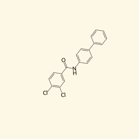 O=C(Nc1ccc(-c2ccccc2)cc1)c1ccc(Cl)c(Cl)c1